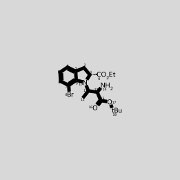 CCOC(=O)[C@H]1Cc2cccc(Br)c2N1C(C)C(N)C(=O)OC(C)(C)C